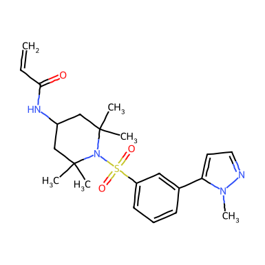 C=CC(=O)NC1CC(C)(C)N(S(=O)(=O)c2cccc(-c3ccnn3C)c2)C(C)(C)C1